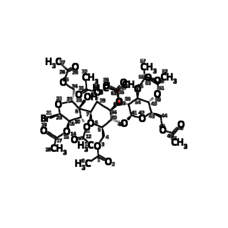 CC(=O)OC[C@H]1O[C@@H]([C@]2(O)[C@H](OC(C)=O)[C@@H](OC(C)=O)[C@@H](Br)O[C@@H]2COC(C)=O)[C@H](OC(C)=O)[C@@H](OC(C)=O)[C@@H]1O[C@@H]1O[C@H](COC(C)=O)[C@@H](OC(C)=O)[C@H](OC(C)=O)[C@H]1OC(C)=O